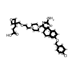 Nc1nc2c(c(N3CCN(CCOCC4(CCC(=O)O)COC4)CC3)n1)CCc1cc(OCc3ccc(Cl)cc3)ccc1-2